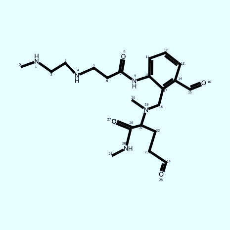 CNCCNCCC(=O)Nc1cccc(C=O)c1CN(C)C(CCC=O)C(=O)NC